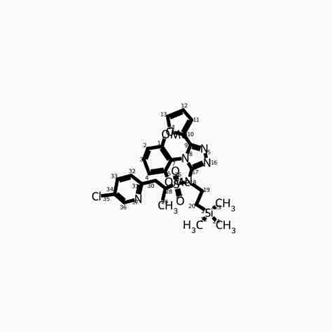 COc1cccc(OC)c1-n1c(-c2ccco2)nnc1N(CC[Si](C)(C)C)S(=O)(=O)C(C)Cc1ccc(Cl)cn1